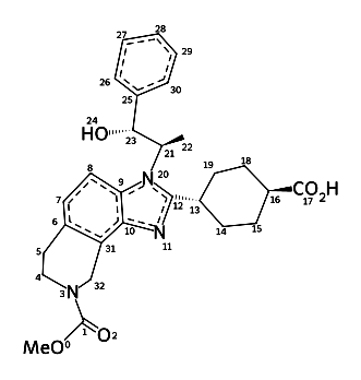 COC(=O)N1CCc2ccc3c(nc([C@H]4CC[C@H](C(=O)O)CC4)n3[C@H](C)[C@H](O)c3ccccc3)c2C1